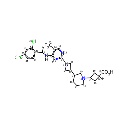 CC(Nc1nc(N2CC(C3CCCN(C4CC(C)(C(=O)O)C4)C3)C2)ncc1C(F)(F)F)c1ccc(Cl)cc1Cl